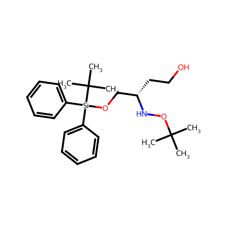 CC(C)(C)ON[C@@H](CCO)CO[Si](c1ccccc1)(c1ccccc1)C(C)(C)C